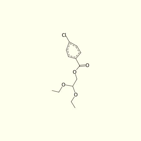 CCOC(COC(=O)c1ccc(Cl)cc1)OCC